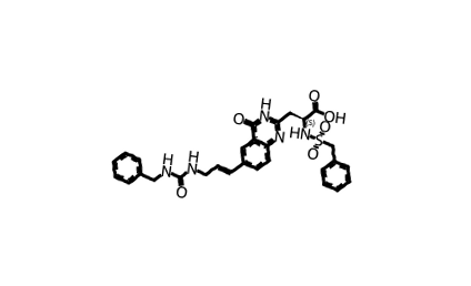 O=C(NCC=Cc1ccc2nc(C[C@H](NS(=O)(=O)Cc3ccccc3)C(=O)O)[nH]c(=O)c2c1)NCc1ccccc1